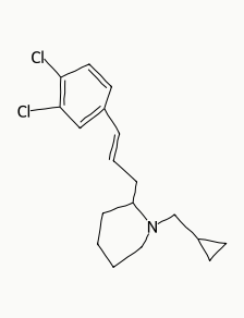 Clc1ccc(/C=C/CC2CCCCN2CC2CC2)cc1Cl